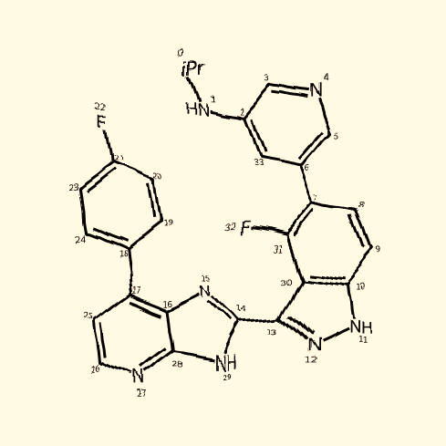 CC(C)Nc1cncc(-c2ccc3[nH]nc(-c4nc5c(-c6ccc(F)cc6)ccnc5[nH]4)c3c2F)c1